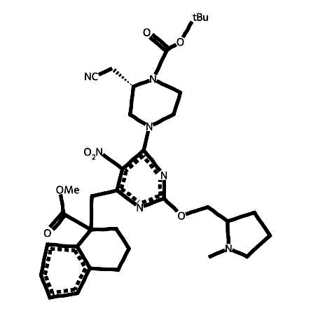 COC(=O)C1(Cc2nc(OCC3CCCN3C)nc(N3CCN(C(=O)OC(C)(C)C)[C@@H](CC#N)C3)c2[N+](=O)[O-])CCCc2ccccc21